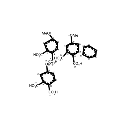 COc1ccc(C(=O)O)c(C(=O)O)c1.COc1ccc(C(=O)O)c(C(=O)O)c1.COc1ccc(C(=O)O)c(C(=O)O)c1.c1ccccc1